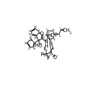 C=CC[N+]12CCC(CC1)[C@@H](NC(=O)C(O)(c1cccs1)c1cccs1)C2.O=C([O-])C(F)(F)F